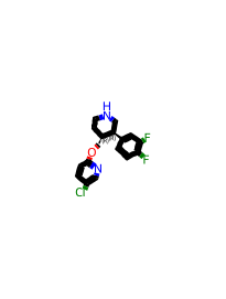 Fc1ccc([C@@H]2CNCC[C@H]2COc2ccc(Cl)cn2)cc1F